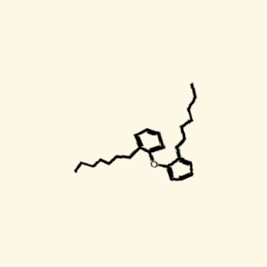 CCCCCCCc1ccccc1Oc1ccccc1CCCCCCC